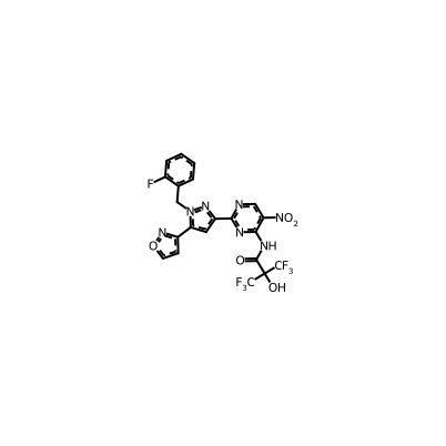 O=C(Nc1nc(-c2cc(-c3ccon3)n(Cc3ccccc3F)n2)ncc1[N+](=O)[O-])C(O)(C(F)(F)F)C(F)(F)F